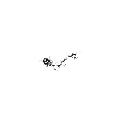 Cc1cc(C(=O)NCC2=NOC(C(=O)N[C@@H](CC(C)C)B3O[C@@H]4C[C@@H]5C[C@@H](C5(C)C)[C@]4(C)O3)C2)no1